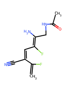 C=C(F)/C(C#N)=C\C(F)=C(/N)CNC(C)=O